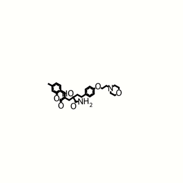 Cc1ccc2cc(CC(O)(CCc3ccc(OCCN4CCOCC4)cc3)C(N)=O)c(=O)oc2c1